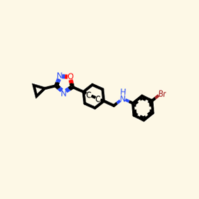 Brc1cccc(NCC23CCC(c4nc(C5CC5)no4)(CC2)CC3)c1